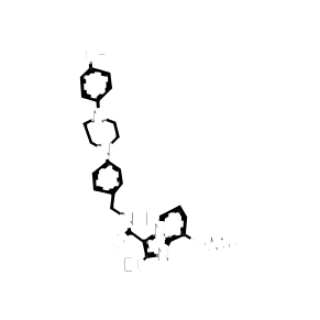 CCc1nc2c(OC)cccn2c1C(=O)NCc1ccc(N2CCN(c3ccc(C(F)(F)F)cc3)CC2)cc1